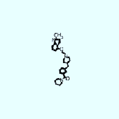 Cc1ccc2c(OCCN3CCC(Cc4cccc(C(=O)N5CCCCC5)c4)CC3)cccc2n1